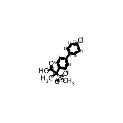 CC(C(=O)O)(c1ccc(-c2ccc(Cl)cc2)cc1)S(C)(=O)=O